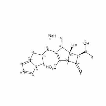 CC(O)[C@H]1C(=O)N2C(C(=O)O)=C(SC3Cn4cnc[n+]4C3)[C@H](C)[C@H]12.[NaH]